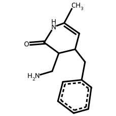 CC1=CC(Cc2ccccc2)C(CN)C(=O)N1